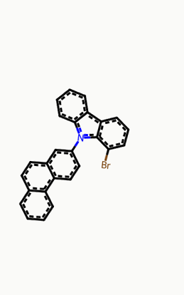 Brc1cccc2c3ccccc3n(-c3ccc4c(ccc5ccccc54)c3)c12